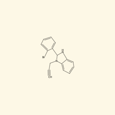 C#CCN1c2ccccc2NC1c1ccccc1Br